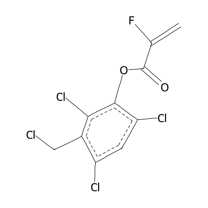 C=C(F)C(=O)Oc1c(Cl)cc(Cl)c(CCl)c1Cl